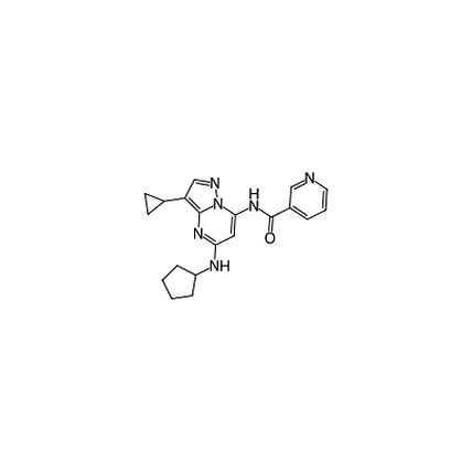 O=C(Nc1cc(NC2CCCC2)nc2c(C3CC3)cnn12)c1cccnc1